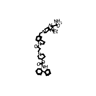 CCn1c(C(N)=O)nc2c1CN(Cc1ccc3c(c1)CCN3C(=O)CCN1CCC(OC(=O)Nc3ccccc3-c3ccccc3)CC1)C2